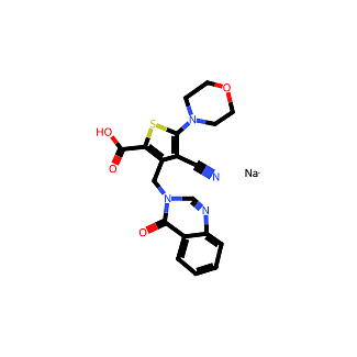 N#Cc1c(N2CCOCC2)sc(C(=O)O)c1Cn1cnc2ccccc2c1=O.[Na]